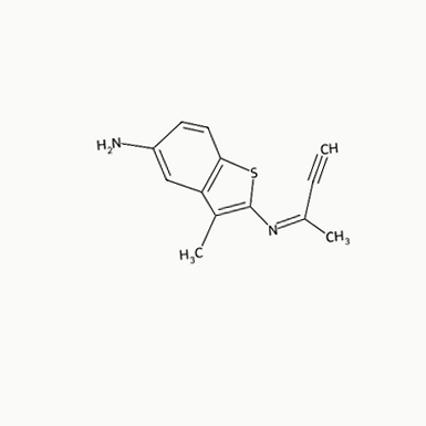 C#C/C(C)=N\c1sc2ccc(N)cc2c1C